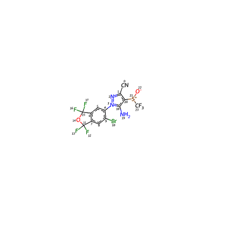 N#Cc1nn(-c2cc3c(cc2Br)C(F)(F)OC3(F)F)c(N)c1[S+]([O-])C(F)(F)F